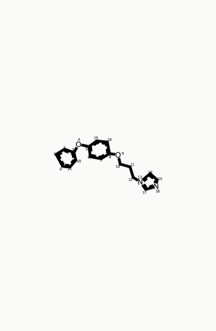 c1ccc(Oc2ccc(OCCCn3ccnc3)cc2)cc1